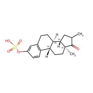 CC1C[C@H]2[C@@H]3CCc4cc(OS(=O)(=O)O)ccc4[C@H]3CC[C@]2(C)C1=O